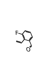 C=Cc1c(F)cccc1C=O